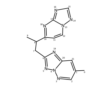 Cc1cnn2nc(CC(C)c3ccn4ncnc4n3)nc2c1